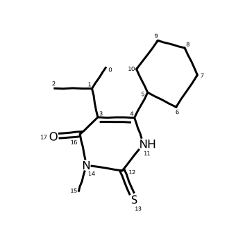 CC(C)c1c(C2CCCCC2)[nH]c(=S)n(C)c1=O